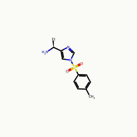 CC[C@H](N)c1cn(S(=O)(=O)c2ccc(C)cc2)cn1